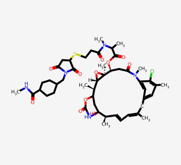 CNC(=O)C1CCC(CN2C(=O)CC(SCCC(=O)N(C)C(C)C(=O)O[C@H]3CC(=O)N(C)c4cc(cc(C)c4Cl)C/C(C)=C/C=C/[C@@H](C)[C@@]4(O)CC(OC(=O)N4)[C@@H](C)[C@@H]4O[C@@]34C)C2=O)CC1